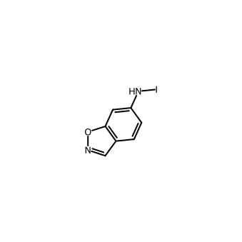 INc1ccc2cnoc2c1